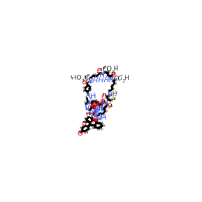 NC1=NC2N=CC(CNc3ccc(C(=O)NC(CCC(=O)NC(CCC(=O)NC(CCCCNC(=O)C(CS)NC(=O)C(CCCCNC(=O)c4ccccc4-c4c5ccc(=O)cc-5oc5cc(O)ccc45)NC(=O)C4CCCN4)C(=O)O)C(=O)O)C(=O)O)cc3)=NC2C(=O)N1